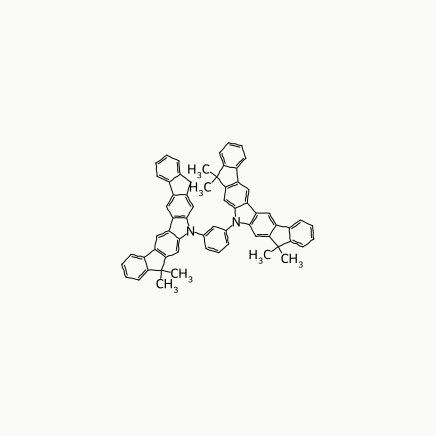 CC1(C)c2ccccc2-c2cc3c4cc5c(cc4n(-c4cccc(-n6c7cc8c(cc7c7cc9c(cc76)C(C)(C)c6ccccc6-9)-c6ccccc6C8(C)C)c4)c3cc21)Cc1ccccc1-5